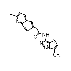 Cc1ccc2cc(CC(=O)Nc3ncn4c(C(F)(F)F)csc34)ccc2n1